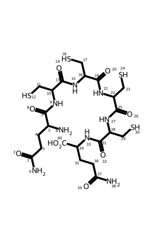 NC(=O)CCC(N)C(=O)NC(CS)C(=O)NC(CS)C(=O)NC(CS)C(=O)NC(CS)C(=O)NC(CCC(N)=O)C(=O)O